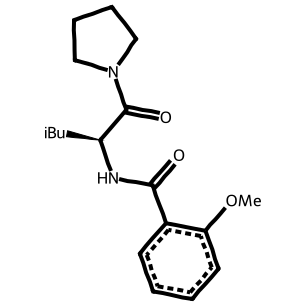 CCC(C)[C@H](NC(=O)c1ccccc1OC)C(=O)N1CCCC1